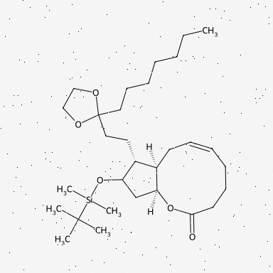 CCCCCCCC1(CC[C@H]2C(O[Si](C)(C)C(C)(C)C)C[C@@H]3OC(=O)CCC/C=C\C[C@@H]32)OCCO1